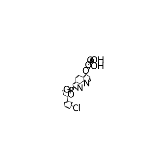 O=P(O)(O)OCOc1ccnc2c1ccc1cc(P3OCCC(c4cccc(Cl)c4)O3)cnc12